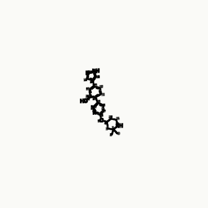 CC1(C)CC(Oc2ccc(-c3ccc(-c4cn[nH]c4)cc3O)nn2)CCN1